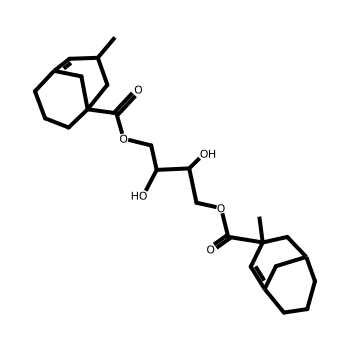 CC1C=C2CCCC(C(=O)OCC(O)C(O)COC(=O)C3(C)C=C4CCCC(C4)C3)(C2)C1